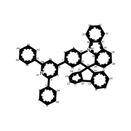 c1ccc(-c2cc(-c3ccc4c(c3)C3(c5ccccc5-c5ccccc53)c3cccc5c6ccccc6n-4c35)cc(-c3ccccc3)n2)cc1